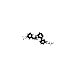 O=C(O)c1cccc(-c2cccc3nc(Cc4cccc(C(F)(F)F)c4)sc23)c1